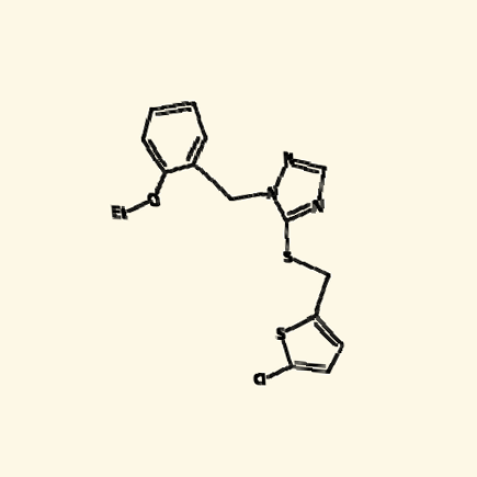 CCOc1ccccc1Cn1ncnc1SCc1ccc(Cl)s1